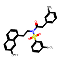 COc1ccc2cccc(CCN(C(=O)Cc3cccc([N+](=O)[O-])c3)S(=O)(=O)c3cccc([N+](=O)[O-])c3)c2c1